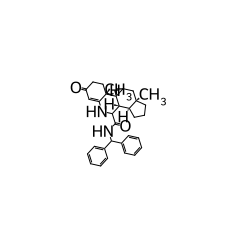 C[C@@]12CCC[C@H]1[C@@H]1C(C(=O)NC(c3ccccc3)c3ccccc3)NC3=CC(=O)CC[C@]3(C)[C@@H]1CC2